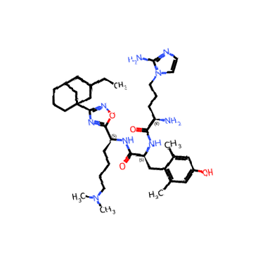 CCC1CC2CCCC(c3noc([C@H](CCCCN(C)C)NC(=O)[C@H](Cc4c(C)cc(O)cc4C)NC(=O)[C@H](N)CCCn4ccnc4N)n3)(C1)C2